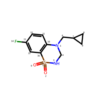 O=S1(=O)NCN(CC2CC2)c2ccc(F)cc21